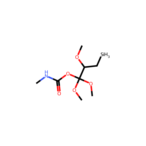 CNC(=O)OC(OC)(OC)C(C[SiH3])OC